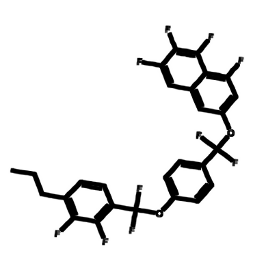 CCCc1ccc(C(F)(F)Oc2ccc(C(F)(F)Oc3cc(F)c4c(F)c(F)c(F)cc4c3)cc2)c(F)c1F